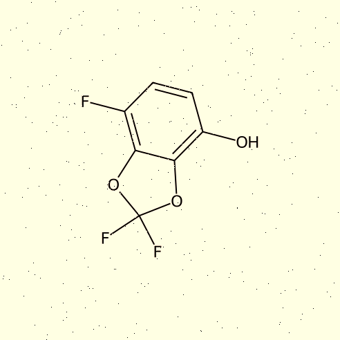 Oc1ccc(F)c2c1OC(F)(F)O2